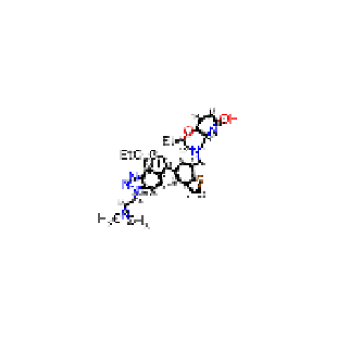 CCOC(=O)CC(c1cc(CN2Cc3nc(O)ccc3O[C@H](CC)C2)c2sccc2c1)c1ccc2c(nnn2CCN(C)C)c1C